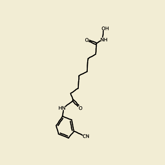 N#Cc1cccc(NC(=O)CCCCCCC(=O)NO)c1